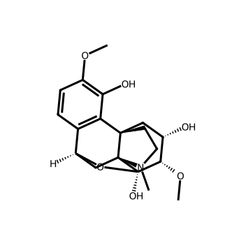 COc1ccc2c(c1O)[C@@]13CCN(C)[C@@]14C[C@@H]2O[C@]4(O)[C@@H](OC)[C@@H](O)C3